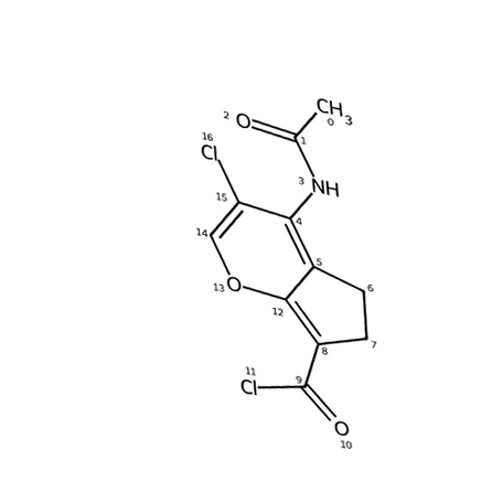 CC(=O)NC1=C2CCC(C(=O)Cl)=C2OC=C1Cl